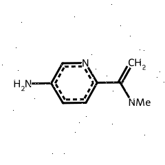 C=C(NC)c1ccc(N)cn1